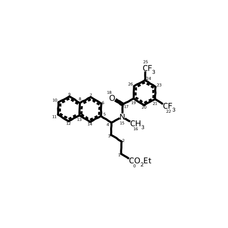 CCOC(=O)CCCC(c1ccc2ccccc2c1)N(C)C(=O)c1cc(C(F)(F)F)cc(C(F)(F)F)c1